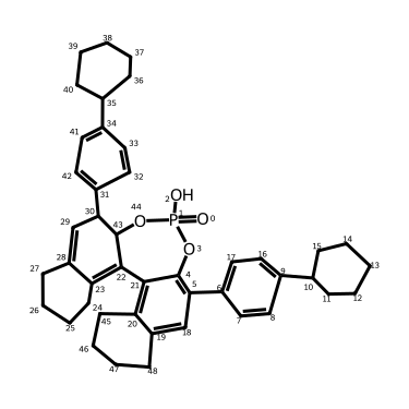 O=P1(O)Oc2c(-c3ccc(C4CCCCC4)cc3)cc3c(c2C2=C4CCCCC4=CC(c4ccc(C5CCCCC5)cc4)C2O1)CCCC3